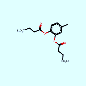 CCOC(=O)CCC(=O)Oc1ccc(C)cc1OC(=O)CCC(=O)OCC